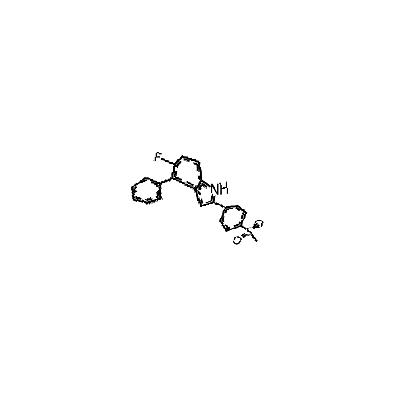 CS(=O)(=O)c1ccc(-c2cc3c(-c4ccccc4)c(F)ccc3[nH]2)cc1